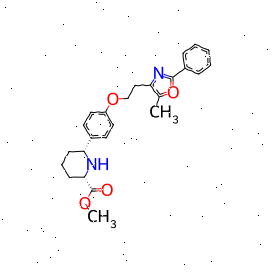 COC(=O)[C@@H]1CCC[C@H](c2ccc(OCCc3nc(-c4ccccc4)oc3C)cc2)N1